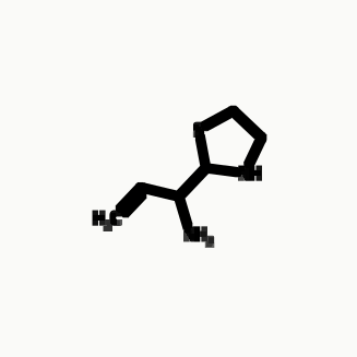 C=CC(N)C1NCCS1